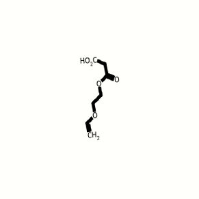 C=COCCOC(=O)CC(=O)O